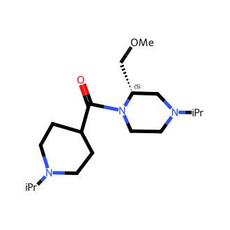 COC[C@@H]1CN(C(C)C)CCN1C(=O)C1CCN(C(C)C)CC1